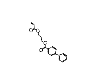 C=CC(=O)OCCCOC(=O)c1ccc(-c2ccccc2)cc1